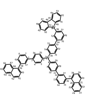 c1cc(-c2ccc(N(c3ccc(-c4cccc(-c5cccc6ccccc56)c4)cc3)c3ccc(-c4cccc(-n5c6ccccc6c6ccccc65)c4)cc3)cc2)cc(-c2cccc3ccccc23)c1